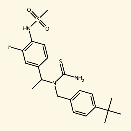 CC(c1ccc(NS(C)(=O)=O)c(F)c1)N(Cc1ccc(C(C)(C)C)cc1)C(N)=S